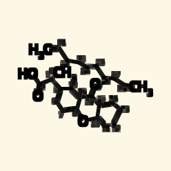 CC(C(=O)O)c1ccc2oc3ccccc3c(=O)c2c1.CCCCC=CCCCC